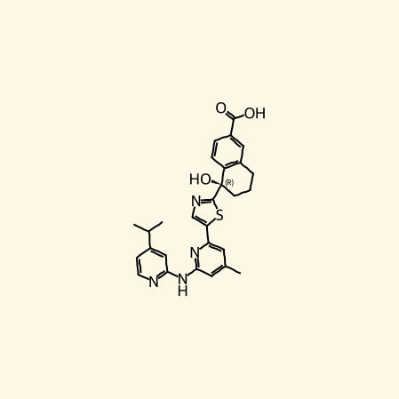 Cc1cc(Nc2cc(C(C)C)ccn2)nc(-c2cnc([C@@]3(O)CCCc4cc(C(=O)O)ccc43)s2)c1